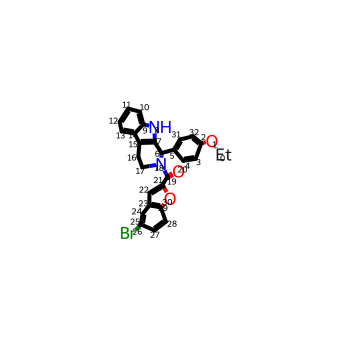 CCOc1ccc(C2c3[nH]c4ccccc4c3CCN2C(=O)c2cc3cc(Br)ccc3o2)cc1